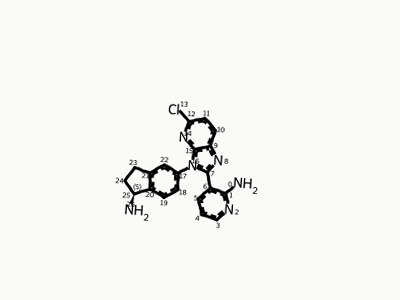 Nc1ncccc1-c1nc2ccc(Cl)nc2n1-c1ccc2c(c1)CC[C@@H]2N